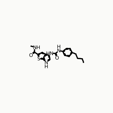 CCCCc1ccc(NC(=O)Nc2c[nH]c3sc(C(=O)NC)cc23)cc1